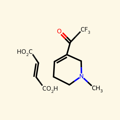 CN1CCC=C(C(=O)C(F)(F)F)C1.O=C(O)C=CC(=O)O